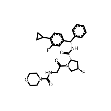 O=C(N[C@@H](c1ccccc1)c1ccc(C2CC2)c(F)c1)[C@@H]1C[C@@H](F)CN1C(=O)CNC(=O)N1CCOCC1